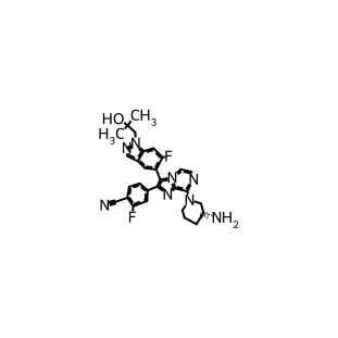 CC(C)(O)Cn1ncc2cc(-c3c(-c4ccc(C#N)c(F)c4)nc4c(N5CCC[C@@H](N)C5)nccn34)c(F)cc21